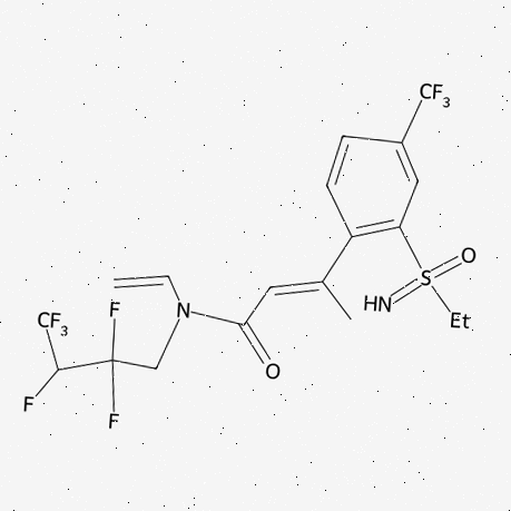 C=CN(CC(F)(F)C(F)C(F)(F)F)C(=O)/C=C(\C)c1ccc(C(F)(F)F)cc1S(=N)(=O)CC